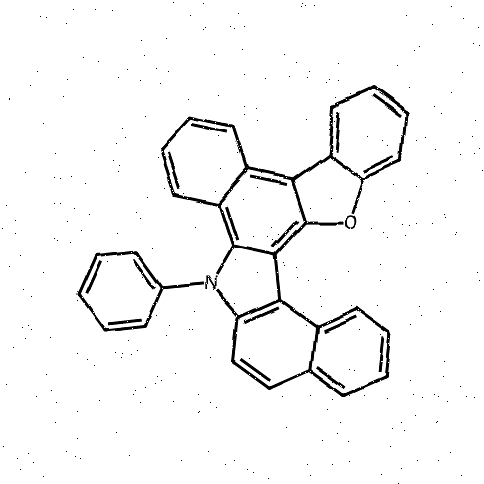 c1ccc(-n2c3ccc4ccccc4c3c3c4oc5ccccc5c4c4ccccc4c32)cc1